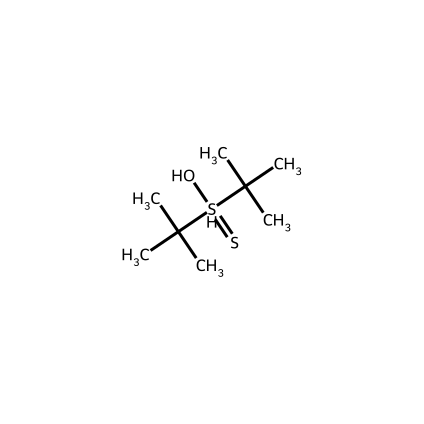 CC(C)(C)[SH](O)(=S)C(C)(C)C